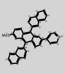 CSc1ccc2c(-c3ccc4ccccc4c3)c3cc(-c4ccncc4)ccc3c(-c3ccc4ccccc4c3)c2c1